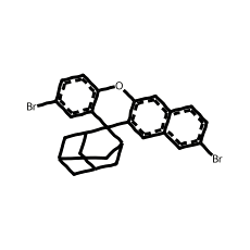 Brc1ccc2c(c1)C1(c3cc4cc(Br)ccc4cc3O2)C2CC3CC(C2)CC1C3